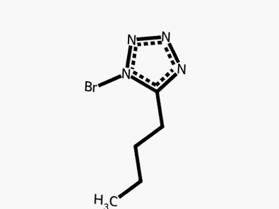 CCCCc1nnnn1Br